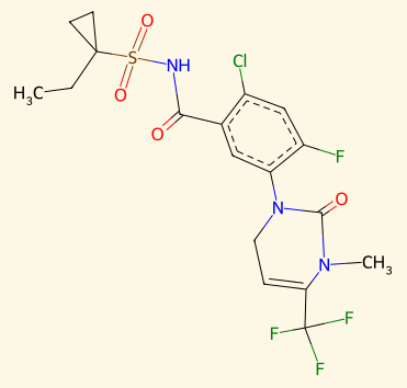 CCC1(S(=O)(=O)NC(=O)c2cc(N3CC=C(C(F)(F)F)N(C)C3=O)c(F)cc2Cl)CC1